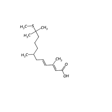 CSC(C)(C)CCCC(C)C/C=C/C(C)=C/C(=O)O